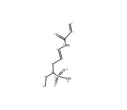 C=CC(=O)NC=CCC(CC)S(=O)(=O)O